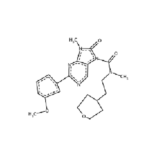 COc1cccc(-c2ncc3c(n2)n(C)c(=O)n3C(=O)N(C)CCC2CCOCC2)c1